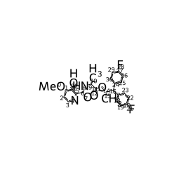 COc1ccnc(C(=O)N[C@@H](C)C(=O)O[C@H](C)C(c2ccc(F)cc2)c2ccc(F)cc2)c1O